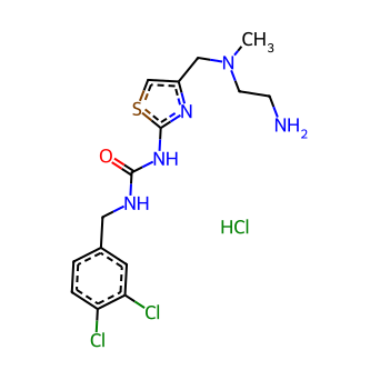 CN(CCN)Cc1csc(NC(=O)NCc2ccc(Cl)c(Cl)c2)n1.Cl